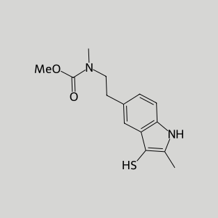 COC(=O)N(C)CCc1ccc2[nH]c(C)c(S)c2c1